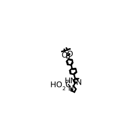 CC1(C)OB(c2ccc(-c3ccc(-c4cnc(C5CCCN5C(=O)O)[nH]4)cc3)cc2)OC1(C)C